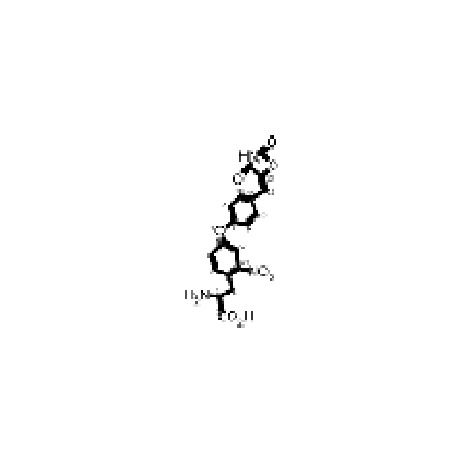 NC(Cc1ccc(Oc2ccc(/C=C3/OC(=O)NC3=O)cc2)cc1[N+](=O)[O-])C(=O)O